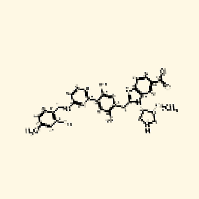 CO[C@@H]1CNC[C@@H]1n1c(Cc2cc(F)c(-c3cccc(OCc4ccc(C)cc4F)n3)cc2F)nc2ccc(C(=O)O)cc21